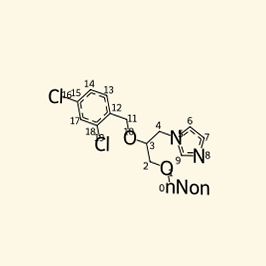 CCCCCCCCCOCC(Cn1ccnc1)OCc1ccc(Cl)cc1Cl